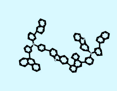 c1cc(-c2ccc3ccccc3c2)cc(N(c2ccc(-c3ccc4c(c3)oc3cc(-c5cccc6cc(-c7cccc(N(c8cccc(-c9ccc%10ccccc%10c9)c8)c8ccc9c(c8)sc8ccccc89)c7)c7ccccc7c56)ccc34)cc2)c2cccc(-c3cc4ccccc4c4ccccc34)c2)c1